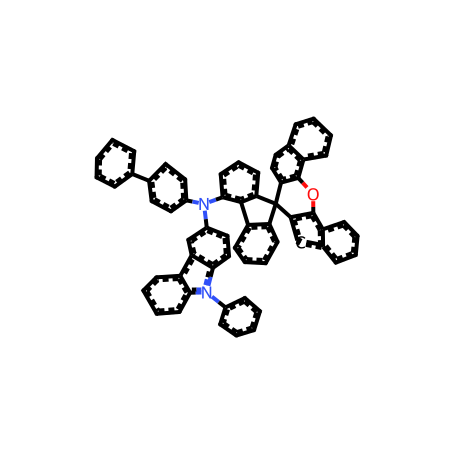 c1ccc(-c2ccc(N(c3ccc4c(c3)c3ccccc3n4-c3ccccc3)c3cccc4c3-c3ccccc3C43c4ccc5ccccc5c4Oc4c3ccc3ccccc43)cc2)cc1